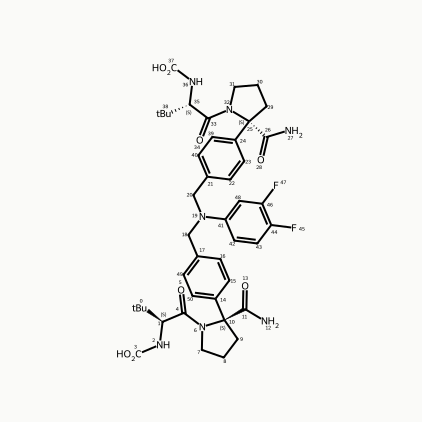 CC(C)(C)[C@H](NC(=O)O)C(=O)N1CCC[C@@]1(C(N)=O)c1ccc(CN(Cc2ccc([C@]3(C(N)=O)CCCN3C(=O)[C@@H](NC(=O)O)C(C)(C)C)cc2)c2ccc(F)c(F)c2)cc1